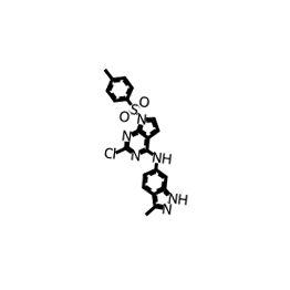 Cc1ccc(S(=O)(=O)n2ccc3c(Nc4ccc5c(C)n[nH]c5c4)nc(Cl)nc32)cc1